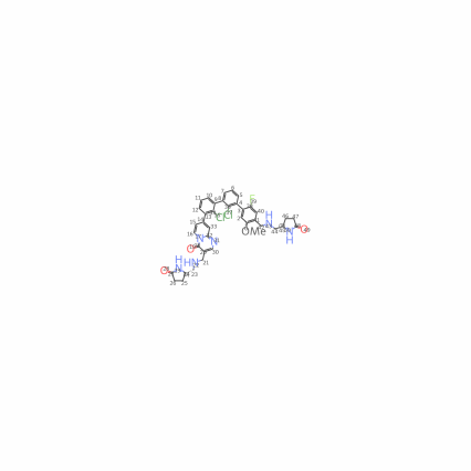 COc1cc(-c2cccc(-c3cccc(-c4ccn5c(=O)c(CNC[C@@H]6CCC(=O)N6)cnc5c4)c3Cl)c2Cl)c(F)cc1CNC[C@H]1CCC(=O)N1